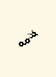 Cc1cc(COc2ccc(Cc3ccccc3)cc2)n(O)c(=O)c1